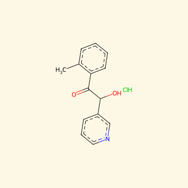 Cc1ccccc1C(=O)C(O)c1cccnc1.Cl